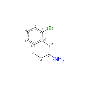 NC1CCc2cccc(Br)c2C1